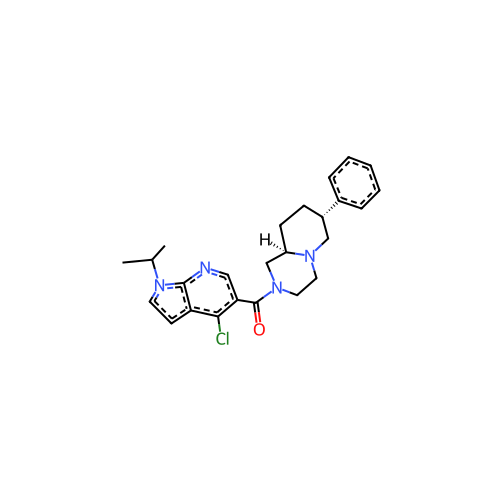 CC(C)n1ccc2c(Cl)c(C(=O)N3CCN4C[C@@H](c5ccccc5)CC[C@@H]4C3)cnc21